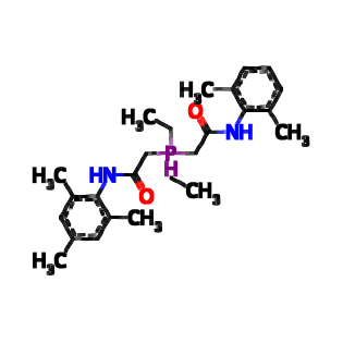 CC[PH](CC)(CC(=O)Nc1c(C)cccc1C)CC(=O)Nc1c(C)cc(C)cc1C